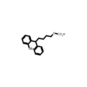 CCCCc1ccccc1C(CCCCOC(=O)O)c1ccccc1